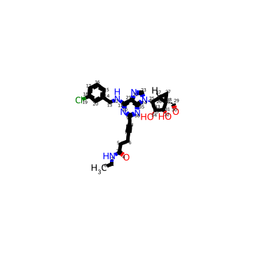 CCNC(=O)CCC#Cc1nc(NCc2cccc(Cl)c2)c2ncn([C@@H]3[C@H]4C[C@@]4(C=O)C(O)[C@@H]3O)c2n1